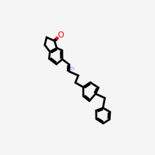 O=C1CCc2ccc(/C=C/CCc3ccc(Cc4ccccc4)cc3)cc21